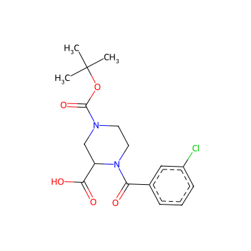 CC(C)(C)OC(=O)N1CCN(C(=O)c2cccc(Cl)c2)C(C(=O)O)C1